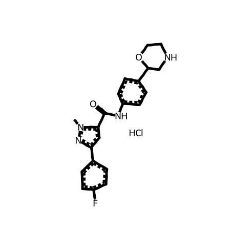 Cl.Cn1nc(-c2ccc(F)cc2)cc1C(=O)Nc1ccc(C2CNCCO2)cc1